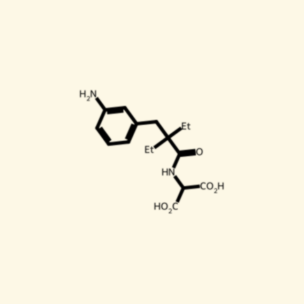 CCC(CC)(Cc1cccc(N)c1)C(=O)NC(C(=O)O)C(=O)O